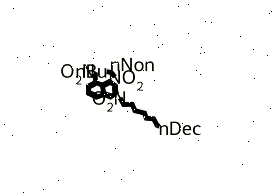 CCCCCCCCCC(CCCC)[N+](=O)[O-].CCCCCCCCCCCCCCCCC[N+](=O)[O-].O=[N+]([O-])Cc1cccc2ccccc12